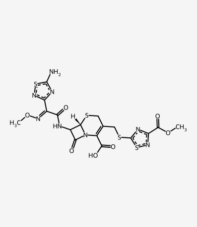 CON=C(C(=O)NC1C(=O)N2C(C(=O)O)=C(CSc3nc(C(=O)OC)ns3)CS[C@@H]12)c1nsc(N)n1